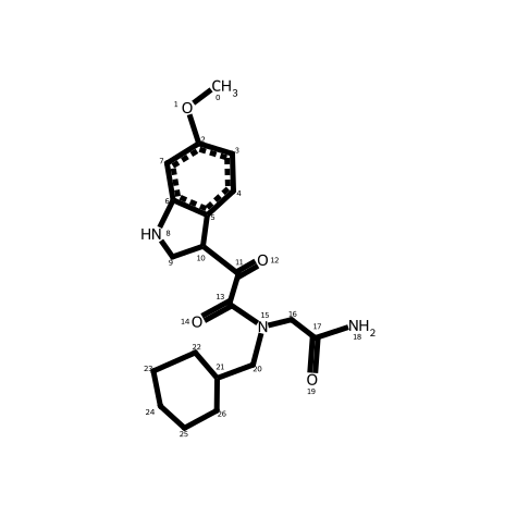 COc1ccc2c(c1)NCC2C(=O)C(=O)N(CC(N)=O)CC1CCCCC1